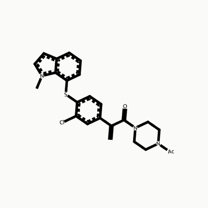 C=C(C(=O)N1CCN(C(C)=O)CC1)c1ccc(Sc2cccc3ccn(C)c23)c(Cl)c1